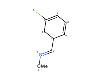 CO/N=C/C1[CH]C(F)=CC=C1